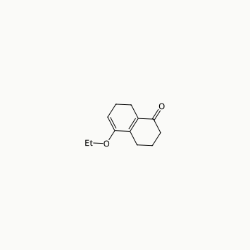 CCOC1=CCCC2=C1CCCC2=O